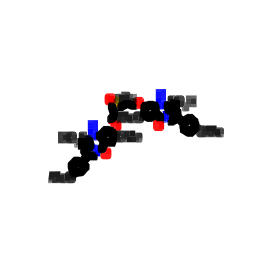 CCCCP(=O)(CCCOc1cc2c(cc1OC)C(=O)N1C=C(c3ccc(OC)cc3)C[C@H]1C(S(=O)(=O)O)N2)CCCOc1cc2c(cc1OC)C(=O)N1C=C(c3ccc(OC)cc3)C[C@H]1C(S(=O)(=O)O)N2